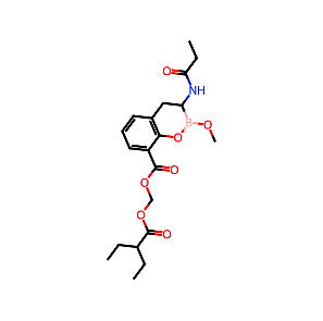 CCC(=O)NC1Cc2cccc(C(=O)OCOC(=O)C(CC)CC)c2OB1OC